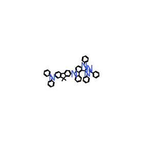 CC1(C)c2cc(N(c3ccccc3)c3ccccc3)ccc2-c2ccc(-n3c4ccccc4c4c5c6c(nc(-c7ccccc7)n6-c6ccccc6)n(-c6ccccc6)c5ccc43)cc21